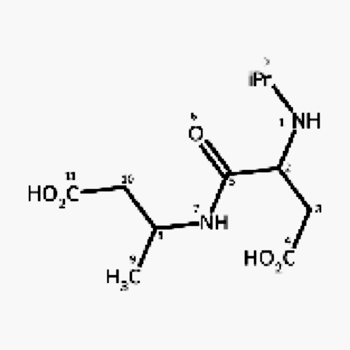 CC(C)NC(CC(=O)O)C(=O)NC(C)CC(=O)O